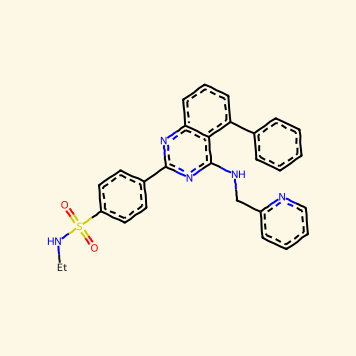 CCNS(=O)(=O)c1ccc(-c2nc(NCc3ccccn3)c3c(-c4ccccc4)cccc3n2)cc1